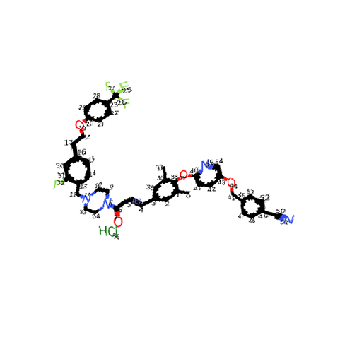 Cc1cc(/C=C/C(=O)N2CCN(Cc3ccc(CCOc4ccc(C(F)(F)F)cc4)cc3F)CC2)cc(C)c1Oc1ccc(OCc2ccc(C#N)cc2)cn1.Cl